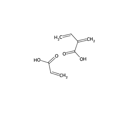 C=CC(=C)C(=O)O.C=CC(=O)O